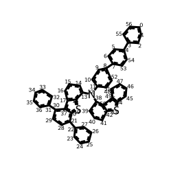 c1ccc(-c2ccc(-c3ccc(N(c4cccc5c4sc4c(-c6ccccc6)ccc(-c6ccccc6)c45)c4cccc5sc6ccccc6c45)cc3)cc2)cc1